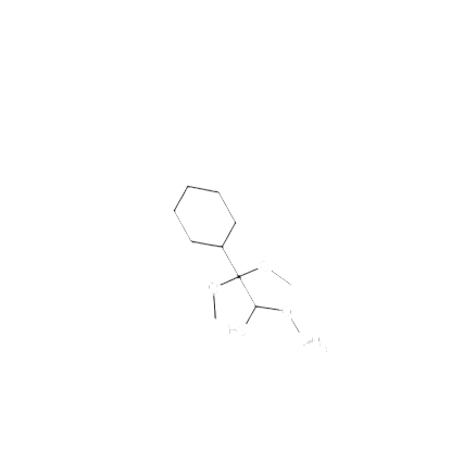 COC(OC)(C1CCCCC1)C(S)O[SiH3]